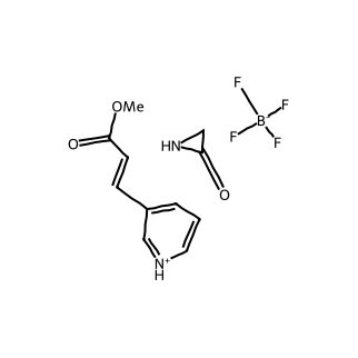 COC(=O)C=Cc1ccc[nH+]c1.F[B-](F)(F)F.O=C1CN1